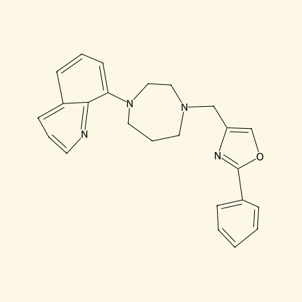 c1ccc(-c2nc(CN3CCCN(c4cccc5cccnc45)CC3)co2)cc1